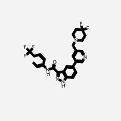 C/C=C(\C=C/CC(F)(F)F)NC(=O)c1n[nH]c2ccc(-c3cncc(CN4CCC(F)(F)CC4)c3)cc12